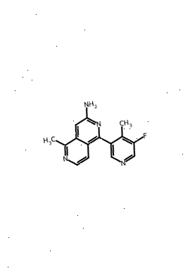 Cc1c(F)cncc1-c1nc(N)cc2c(C)nccc12